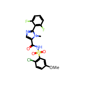 COc1ccc(Cl)c(S(=O)(=O)NC(=O)c2cnc(-c3c(F)cccc3F)n2C)c1